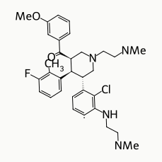 CNCCNc1[c]ccc([C@H]2CN(CCNC)C[C@H](C(=O)c3cccc(OC)c3)[C@@H]2c2cccc(F)c2C)c1Cl